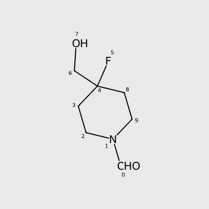 O=CN1CCC(F)(CO)CC1